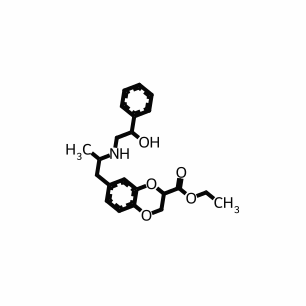 CCOC(=O)C1COc2ccc(CC(C)NCC(O)c3ccccc3)cc2O1